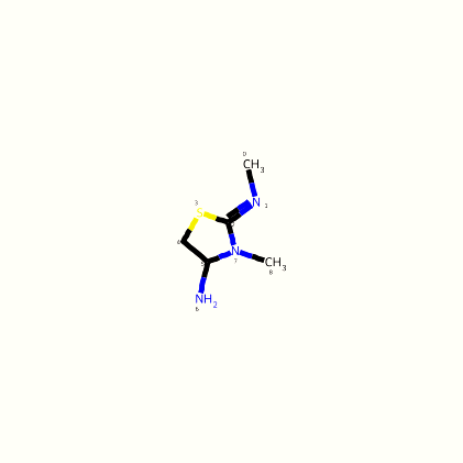 C/N=C1\SCC(N)N1C